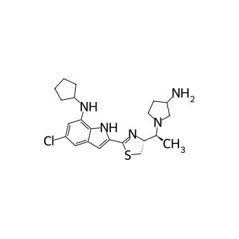 C[C@@H]([C@@H]1CSC(c2cc3cc(Cl)cc(NC4CCCC4)c3[nH]2)=N1)N1CCC(N)C1